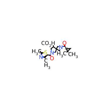 Cc1nc(C)c(C(=O)N2CC(C(=O)O)C3(C2)CN(C(=O)[C@H]2CC2(C)C)C3)s1